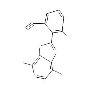 N#Cc1cccc(F)c1-c1nc2c(F)cnc(Cl)c2s1